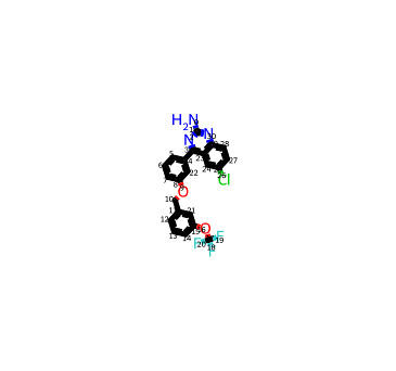 Nc1nc(-c2cccc(OCc3cccc(OC(F)(F)F)c3)c2)c2cc(Cl)ccc2n1